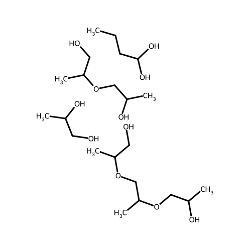 CC(O)CO.CC(O)COC(C)CO.CC(O)COC(C)COC(C)CO.CCCC(O)O